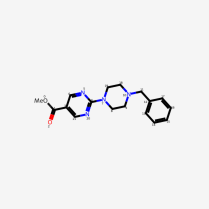 COC(=O)c1cnc(N2CCN(Cc3ccccc3)CC2)nc1